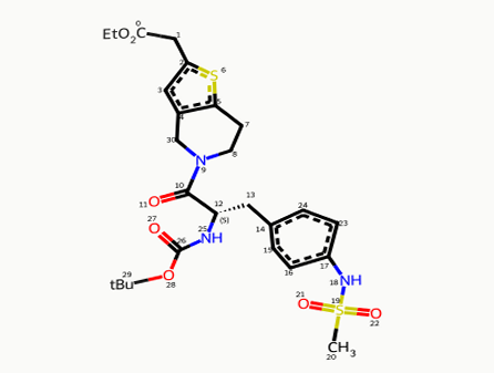 CCOC(=O)Cc1cc2c(s1)CCN(C(=O)[C@H](Cc1ccc(NS(C)(=O)=O)cc1)NC(=O)OC(C)(C)C)C2